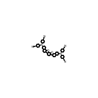 N#Cc1ccc(N(c2ccc(C#N)cc2)c2ccc3c(ccc4c5ccc6c7ccc8cc(N(c9ccc(C#N)cc9)c9ccc(C#N)cc9)ccc8c7oc6c5oc34)c2)cc1